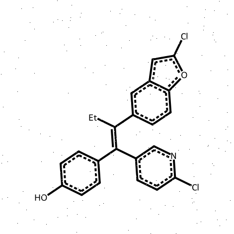 CCC(=C(c1ccc(O)cc1)c1ccc(Cl)nc1)c1ccc2oc(Cl)cc2c1